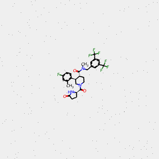 Cc1cc(F)ccc1[C@@H]1CN(C(=O)[C@H]2CCC(=O)N2)CC[C@H]1C(=O)N(C)Cc1cc(C(F)(F)F)cc(C(F)(F)F)c1